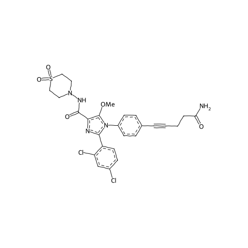 COc1c(C(=O)NN2CCS(=O)(=O)CC2)nc(-c2ccc(Cl)cc2Cl)n1-c1ccc(C#CCCC(N)=O)cc1